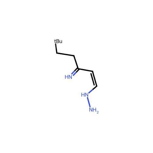 CC(C)(C)CCC(=N)/C=C\NN